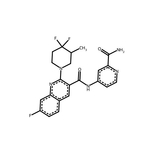 CC1CN(c2nc3cc(F)ccc3cc2C(=O)Nc2ccnc(C(N)=O)c2)CCC1(F)F